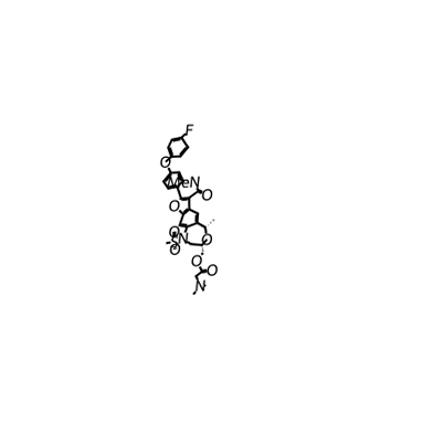 CNC(=O)c1c(-c2ccc(Oc3ccc(F)cc3)cc2)oc2cc3c(cc12)[C@H](C)O[C@H](COC(=O)CN(C)C)CN3S(C)(=O)=O